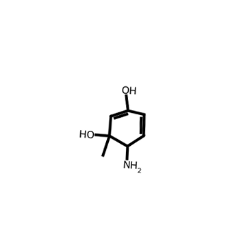 CC1(O)C=C(O)C=CC1N